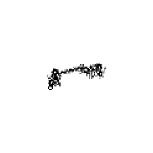 CC1CCCC1n1c(=O)ccc2cnc(NC3CCN(S(=O)(=O)CCCCCCCCCOc4cccc5c4C(=O)N(C4CCC(=O)NC4=O)C5=O)CC3)nc21